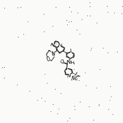 Cc1ccc(NC(=O)c2ccnc(C(C)(C)C#N)c2)cc1-c1cc(N2CCOCC2)c2nccn2c1